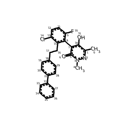 Cc1nn(C)c(=O)c(-c2c(F)ccc(Cl)c2CCc2ccc(-c3ccccc3)cc2)c1O